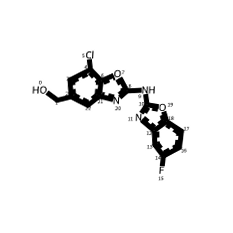 OCc1cc(Cl)c2oc(Nc3nc4cc(F)ccc4o3)nc2c1